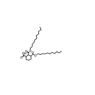 CCCCCCCCCCCOC(=O)C1CCCC(C(=O)O)C1C(=O)OCCCCCCCCCCC